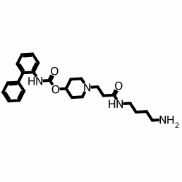 NCCCCNC(=O)CCN1CCC(OC(=O)Nc2ccccc2-c2ccccc2)CC1